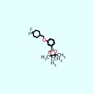 CC1(C)OB(c2cccc(OCC3CCC(F)(F)CC3)c2)OC1(C)C